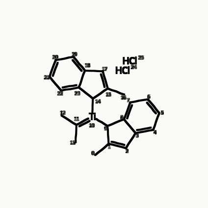 CC1=Cc2ccccc2[CH]1[Ti](=[C](C)C)[CH]1C(C)=Cc2ccccc21.Cl.Cl